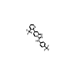 FC(F)(F)c1ccc(Nc2nnc3cc(-c4ncccc4C(F)(F)F)ccn23)cc1